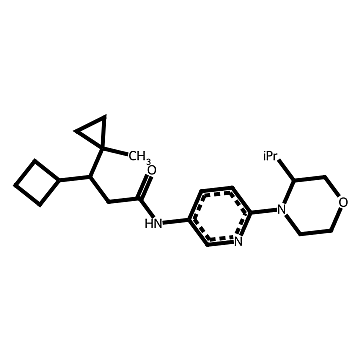 CC(C)C1COCCN1c1ccc(NC(=O)CC(C2CCC2)C2(C)CC2)cn1